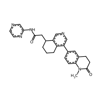 CN1C(=O)CCc2cc(-c3cncc4c3CCCC4CC(=O)Nc3cnccn3)ccc21